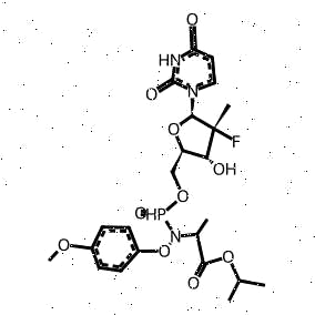 COc1ccc(ON(C(C)C(=O)OC(C)C)[PH](=O)OC[C@H]2O[C@@H](n3ccc(=O)[nH]c3=O)[C@](C)(F)[C@@H]2O)cc1